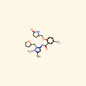 Cn1c(C(C)(C)C)cc(=NC(=O)c2cc(C(F)(F)F)ccc2OC[C@H]2CCC(=O)N2)n1C[C@H]1CCCO1